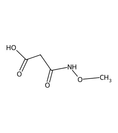 CONC(=O)CC(=O)O